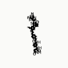 CCc1cc(N2C(=S)N(c3cnc(C#N)c(C(F)(F)F)c3)C(=O)C23CCC3)ccc1OCCC1CCN(CC(=O)Nc2cccc(NC3CCC(=O)NC3=O)c2)CC1